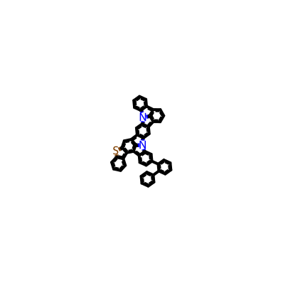 c1ccc(-c2ccccc2-c2ccc3c4c5c(cc6c7cc8c(cc7n(c3c2)c64)c2cccc3c4ccccc4n8c32)sc2ccccc25)cc1